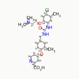 Cc1cc(NC(=O)NCc2ccc(Oc3ccnc(C(=O)O)c3)c(C)c2)c(OCCN(C)C)cc1Cl